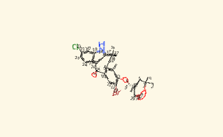 CC1(C)C[C@@H](COc2cc3c(cc2Br)C(=O)c2c([nH]c4cc(Cl)ccc24)C3(C)C)CO1